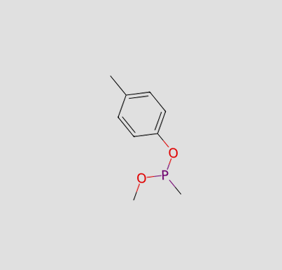 COP(C)Oc1ccc(C)cc1